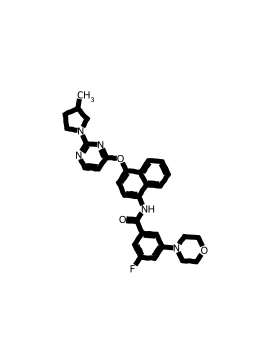 CC1CCN(c2nccc(Oc3ccc(NC(=O)c4cc(F)cc(N5CCOCC5)c4)c4ccccc34)n2)C1